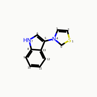 [CH]1SC=CN1c1c[nH]c2ccccc12